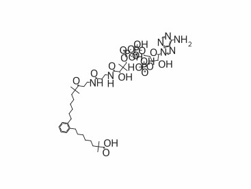 CC(C)(CCCCCCc1ccccc1CCCCCCC(C)(C)C(=O)CCNC(=O)CCNC(=O)C(O)C(C)(C)COP(=O)(O)OP(=O)(O)OCC1OC(n2cnc3c(N)ncnc32)C(O)C1OP(=O)(O)O)C(=O)O